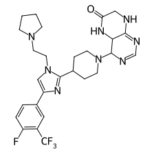 O=C1CNC2=NC=NC(N3CCC(c4nc(-c5ccc(F)c(C(F)(F)F)c5)cn4CCN4CCCC4)CC3)C2N1